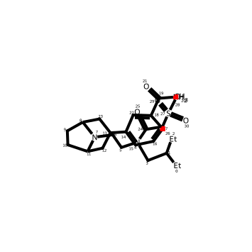 CCC(CC)CN(CCN1C2CCC1CC(c1cccc(C(N)=O)c1)C2)C(=O)CS(C)(=O)=O